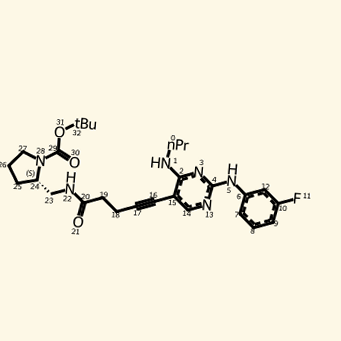 CCCNc1nc(Nc2cccc(F)c2)ncc1C#CCCC(=O)NC[C@@H]1CCCN1C(=O)OC(C)(C)C